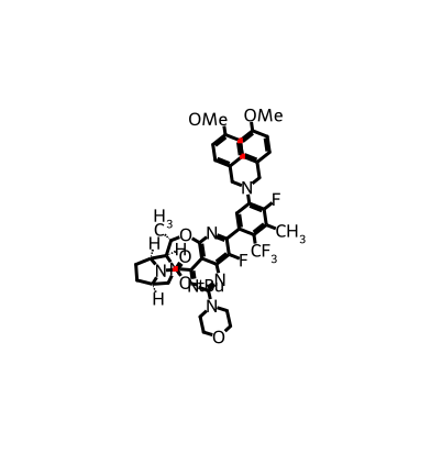 COc1ccc(CN(Cc2ccc(OC)cc2)c2cc(-c3nc4c5c(nc(N6CCOCC6)nc5c3F)N3C[C@H]5CC[C@@H]([C@H]3[C@H](C)O4)N5C(=O)OC(C)(C)C)c(C(F)(F)F)c(C)c2F)cc1